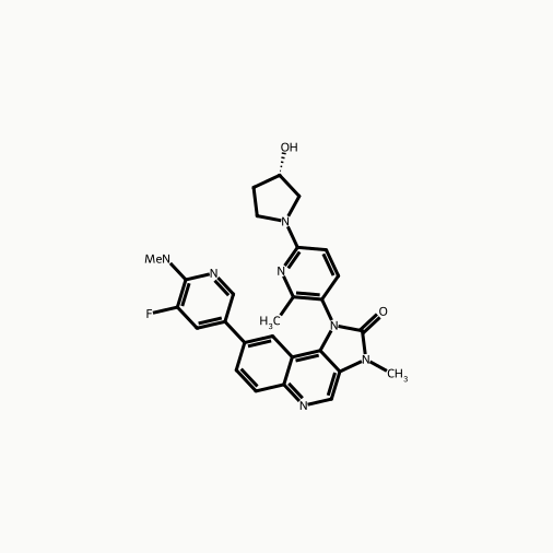 CNc1ncc(-c2ccc3ncc4c(c3c2)n(-c2ccc(N3CC[C@H](O)C3)nc2C)c(=O)n4C)cc1F